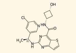 C[C@H](Nc1nc(C(=O)N[C@H]2C[C@@H](O)C2)c2sccc2n1)c1cncc(Cl)c1